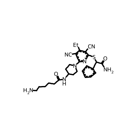 CCc1c(C#N)c(SC(C(N)=O)c2ccccc2)nc(N2CCC(NC(=O)CCCCCN)CC2)c1C#N